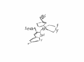 CC(=O)N[C@@H](Cc1cc(F)cc(F)c1)[C@H](O)CNC1(c2cccc(C(C)(C)C)c2)CCC(F)(F)CC1